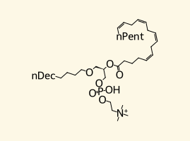 CCCCC/C=C\C/C=C\C/C=C\C/C=C\CCCC(=O)O[C@H](COCCCCCCCCCCCCCC)COP(=O)(O)OCC[N+](C)(C)C